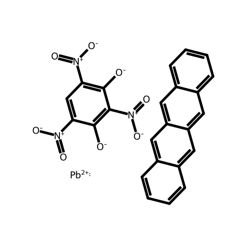 O=[N+]([O-])c1cc([N+](=O)[O-])c([O-])c([N+](=O)[O-])c1[O-].[Pb+2].c1ccc2cc3cc4ccccc4cc3cc2c1